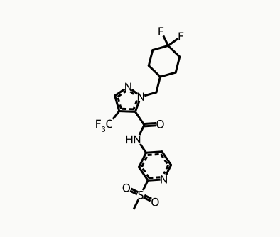 CS(=O)(=O)c1cc(NC(=O)c2c(C(F)(F)F)cnn2CC2CCC(F)(F)CC2)ccn1